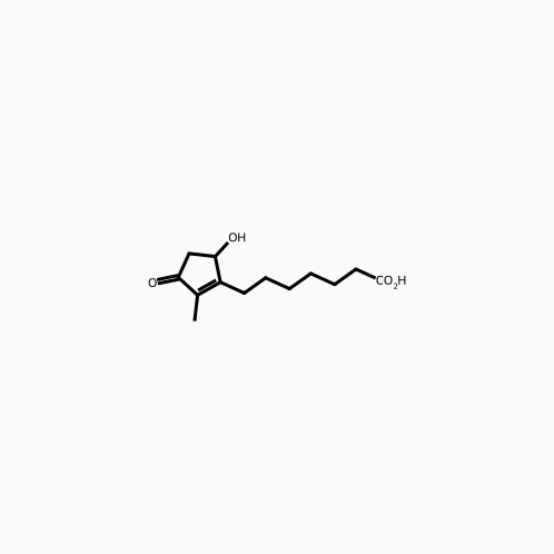 CC1=C(CCCCCCC(=O)O)C(O)CC1=O